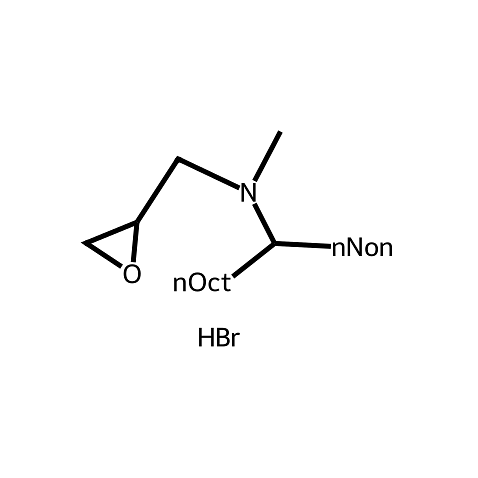 Br.CCCCCCCCCC(CCCCCCCC)N(C)CC1CO1